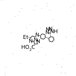 CCc1cc(N(C)c2ccc(-c3ccccc3-c3nnn[nH]3)cc2)n2ncc(C(=O)O)c2n1